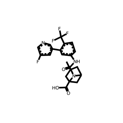 CC1CC2CC(C(=O)O)(C1)N2C(=O)Nc1ccc(C(F)(F)F)c(-c2cncc(F)c2)c1